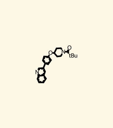 CC(C)(C)C(=O)N1CCC(Oc2ccc(-c3cnc4ccccc4c3)cc2)CC1